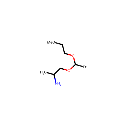 CCC(OCCOC)OCC(C)N